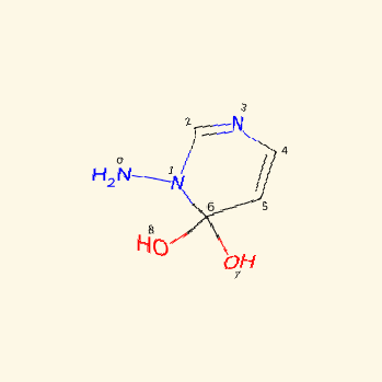 NN1C=NC=CC1(O)O